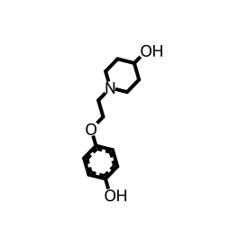 Oc1ccc(OCCN2CCC(O)CC2)cc1